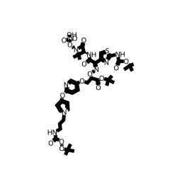 CC(C)(C)OOC(=O)NCCC[n+]1ccc(Oc2ccc(OCC(O/N=C(\C(=O)N[C@@H]3C(=O)N(OS(=O)(=O)O)C3(C)C)c3csc(NC(=O)OC(C)(C)C)n3)C(=O)OC(C)(C)C)cn2)cc1